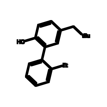 CCc1ccccc1-c1cc(CC(C)(C)C)ccc1O